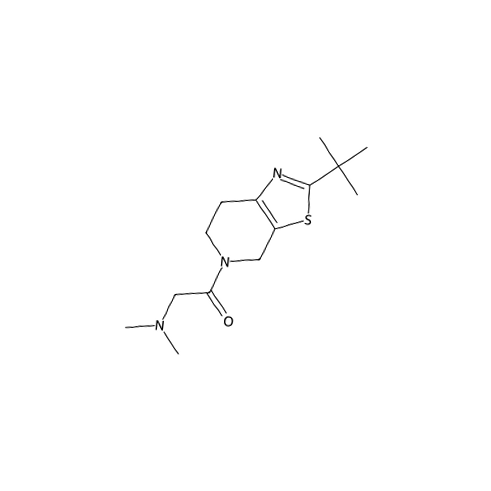 CN(C)CC(=O)N1CCc2nc(C(C)(C)C)sc2C1